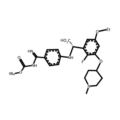 CCOc1cc(OC2CCN(C)CC2)c(F)c([C@H](Nc2ccc(C(=N)NC(=O)OC(C)(C)C)cc2)C(=O)O)c1